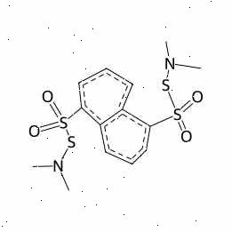 CN(C)SS(=O)(=O)c1cccc2c(S(=O)(=O)SN(C)C)cccc12